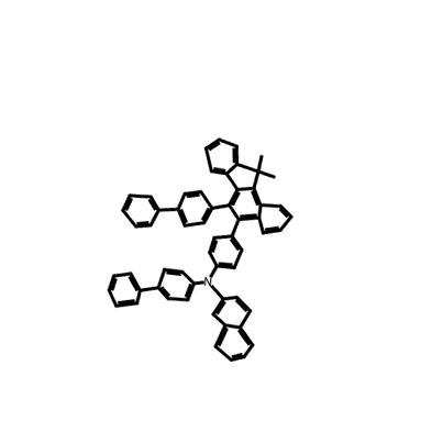 CC1(C)c2ccccc2-c2c(-c3ccc(-c4ccccc4)cc3)c(-c3ccc(N(c4ccc(-c5ccccc5)cc4)c4ccc5ccccc5c4)cc3)c3ccccc3c21